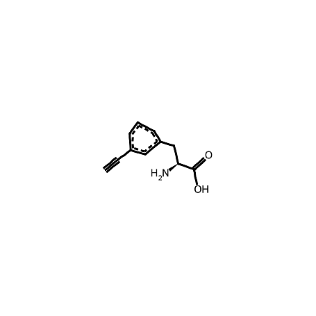 C#Cc1cccc(C[C@H](N)C(=O)O)c1